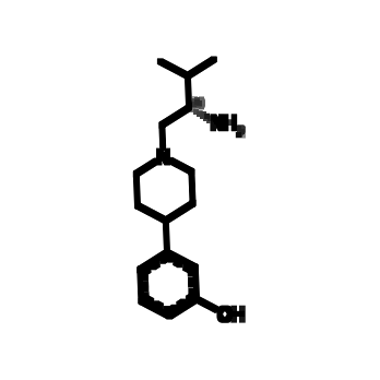 CC(C)[C@H](N)CN1CCC(c2cccc(O)c2)CC1